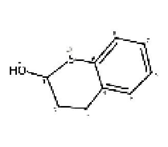 OC1CCc2ccccc2S1